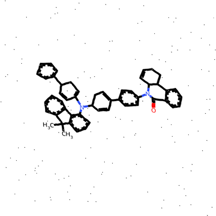 CC1(C)c2ccccc2-c2c(N(C3=CCC(c4ccccc4)C=C3)C3C=CC(c4ccc(N5C(=O)c6ccccc6C6CCC=CC65)cc4)=CC3)cccc21